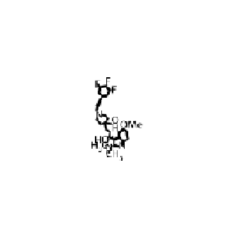 COc1ccc2ncc(N(C)C)c([C@@H](O)CCC3(CO)CCN(CC#Cc4cc(F)c(F)c(F)c4)CC3)c2c1